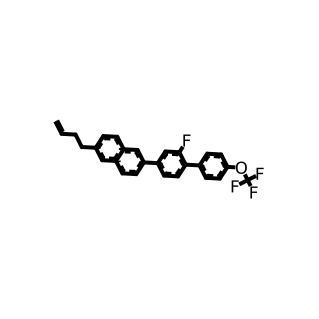 C=CCCc1ccc2cc(-c3ccc(-c4ccc(OC(F)(F)F)cc4)c(F)c3)ccc2c1